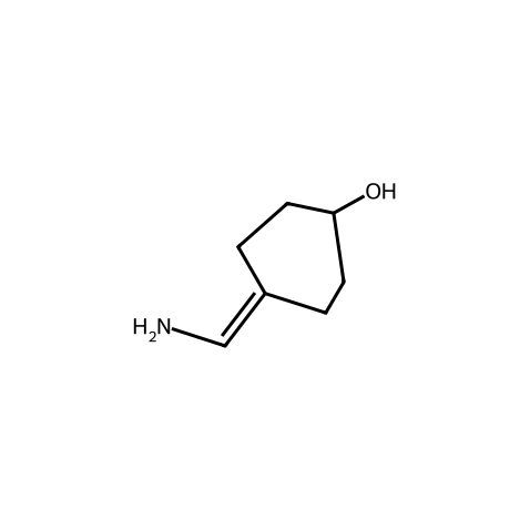 NC=C1CCC(O)CC1